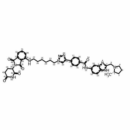 C[C@H]1CCCN1Cc1nc2cc(NC(=O)c3ccc(-c4cn(CCCCCCNc5cccc6c5C(=O)N(C5CCC(=O)NC5=O)C6=O)nn4)cc3)ccc2[nH]1